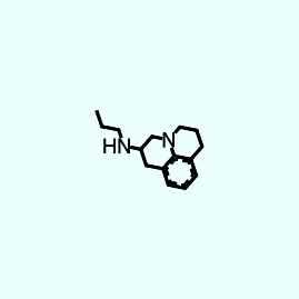 CCCNC1Cc2cccc3c2N(CCC3)C1